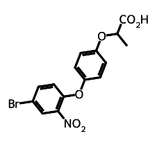 CC(Oc1ccc(Oc2ccc(Br)cc2[N+](=O)[O-])cc1)C(=O)O